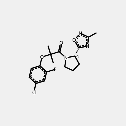 Cc1noc([C@@H]2CCCN2C(=O)C(C)(C)Oc2ccc(Cl)cc2F)n1